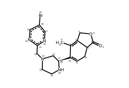 CC1=C2COC(=O)C2CC=C1[C@@H]1CN(Cc2ncc(Br)cn2)CCN1